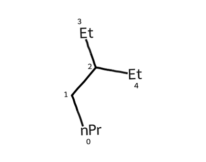 C[CH]CCC(CC)CC